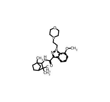 COc1cccc2c(C(=O)NC3C4(C)CCC(C4)C3(C)C)nn(CCN3CCOCC3)c12